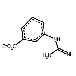 CCOC(=O)c1[c]ccc(NC(=N)N)c1